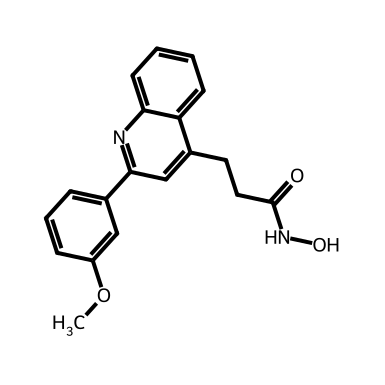 COc1cccc(-c2cc(CCC(=O)NO)c3ccccc3n2)c1